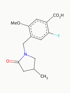 COc1cc(C(=O)O)c(F)cc1CN1CC(C)CC1=O